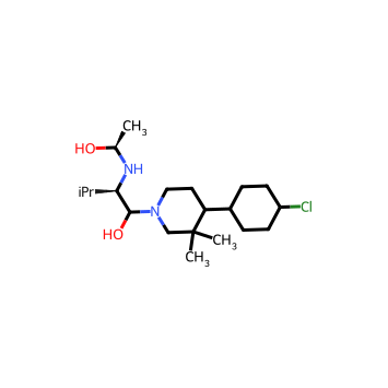 CC(C)[C@@H](N[C@H](C)O)C(O)N1CCC(C2CCC(Cl)CC2)C(C)(C)C1